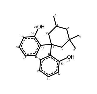 CC1CC(C)(C)CC(c2ccccc2O)(c2ccccc2O)C1